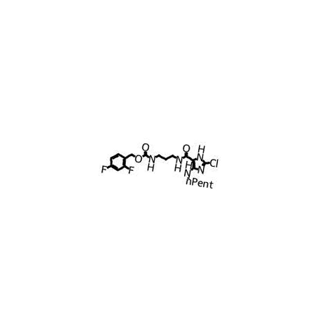 CCCCCNc1nc(Cl)[nH]c1C(=O)NCCCNC(=O)OCc1ccc(F)cc1F